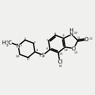 CN1CCC(Sc2ccc3[nH]c(=O)oc3c2Cl)CC1